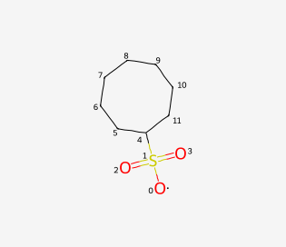 [O]S(=O)(=O)C1CCCCCCC1